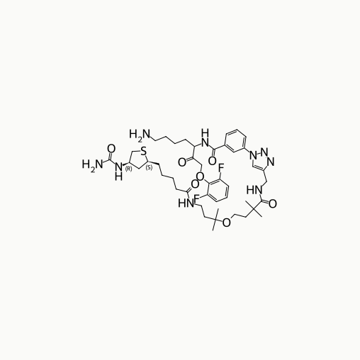 CC(C)(CCNC(=O)CCCC[C@H]1C[C@@H](NC(N)=O)CS1)OCCC(C)(C)C(=O)NCc1cn(-c2cccc(C(=O)NC(CCCCN)C(=O)COc3c(F)cccc3F)c2)nn1